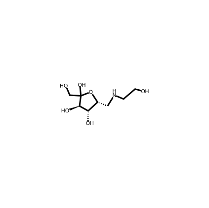 OCCNC[C@H]1OC(O)(CO)[C@H](O)[C@H]1O